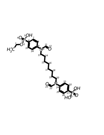 CCOP(=O)(O)c1ccc(N(C=O)CCCCCCCCN(C=O)c2ccc(P(=O)(O)O)cc2)cc1